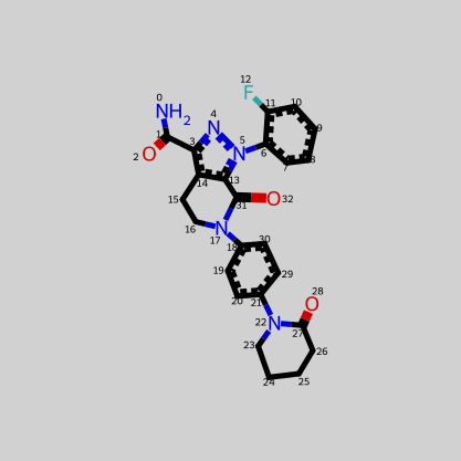 NC(=O)c1nn(-c2ccccc2F)c2c1CCN(c1ccc(N3CCCCC3=O)cc1)C2=O